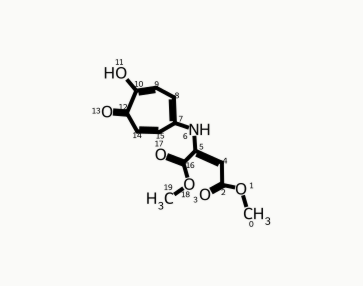 COC(=O)C=C(Nc1ccc(O)c(=O)cc1)C(=O)OC